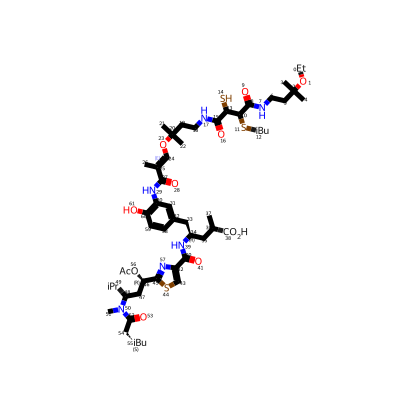 CCOC(C)(C)CCNC(=O)C(SC(C)CC)C(S)C(=O)NCCC(C)(C)O/C=C(\C)C(=O)Nc1cc(C[C@@H](CC(C)C(=O)O)NC(=O)c2csc([C@@H](CC(C(C)C)N(C)C(=O)C[C@@H](C)CC)OC(C)=O)n2)ccc1O